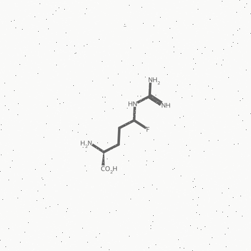 N=C(N)NC(F)CC[C@H](N)C(=O)O